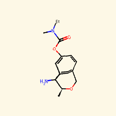 CCN(C)C(=O)Oc1ccc2c(c1)C(N)[C@H](C)OC2